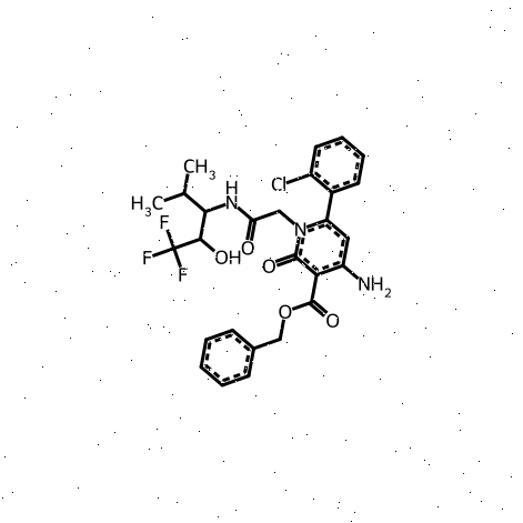 CC(C)C(NC(=O)Cn1c(-c2ccccc2Cl)cc(N)c(C(=O)OCc2ccccc2)c1=O)C(O)C(F)(F)F